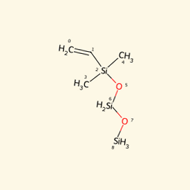 C=C[Si](C)(C)O[SiH2]O[SiH3]